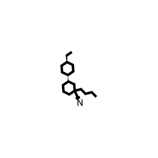 CCCCC1(C#N)CCCC([C@H]2CC[C@H](CC)CC2)C1